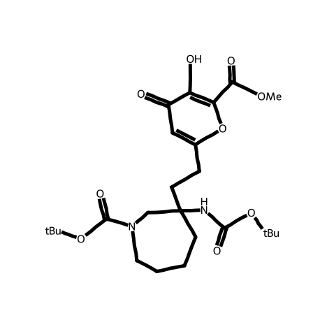 COC(=O)c1oc(CCC2(NC(=O)OC(C)(C)C)CCCCN(C(=O)OC(C)(C)C)C2)cc(=O)c1O